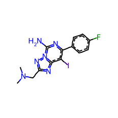 CN(C)Cc1nc2c(I)c(-c3ccc(F)cc3)nc(N)n2n1